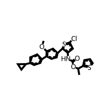 COc1cc(-c2sc(Cl)cc2NC(=O)OC(C)c2cccs2)ccc1-c1ccc(C2CC2)cc1